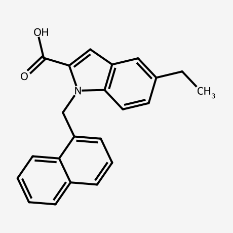 CCc1ccc2c(c1)cc(C(=O)O)n2Cc1cccc2ccccc12